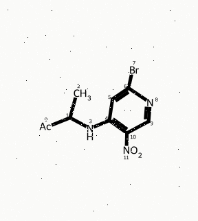 CC(=O)C(C)Nc1cc(Br)ncc1[N+](=O)[O-]